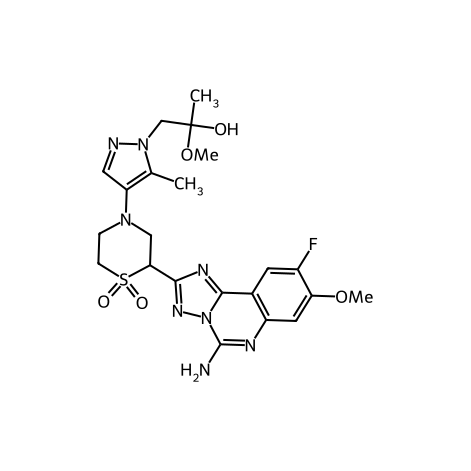 COc1cc2nc(N)n3nc(C4CN(c5cnn(CC(C)(O)OC)c5C)CCS4(=O)=O)nc3c2cc1F